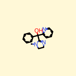 CN1CCN=C1C(O)(c1ccccc1)c1ccccn1